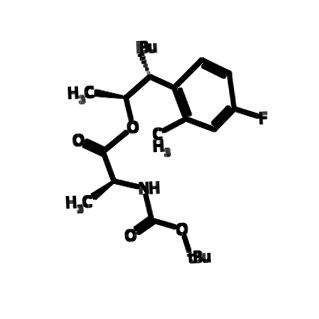 CCC(C)[C@H](c1ccc(F)cc1C)[C@H](C)OC(=O)[C@H](C)NC(=O)OC(C)(C)C